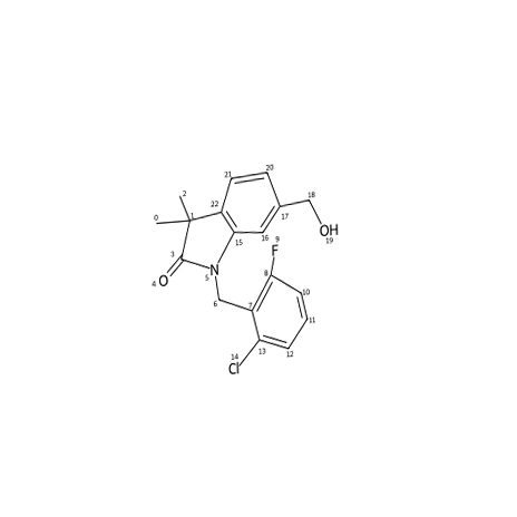 CC1(C)C(=O)N(Cc2c(F)cccc2Cl)c2cc(CO)ccc21